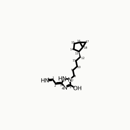 N=C/C=C1/N=C(O)N(CCCCC[C@H]2CCC3CC32)N1